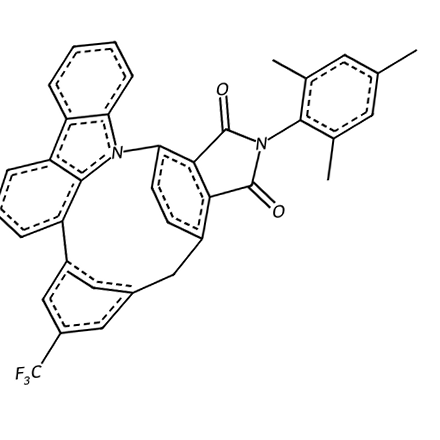 Cc1cc(C)c(N2C(=O)c3c4ccc(c3C2=O)-n2c3ccccc3c3cccc(c32)-c2cc(cc(C(F)(F)F)c2)C4)c(C)c1